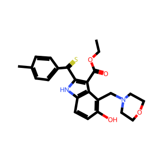 CCOC(=O)c1c(C(=S)c2ccc(C)cc2)[nH]c2ccc(O)c(CN3CCOCC3)c12